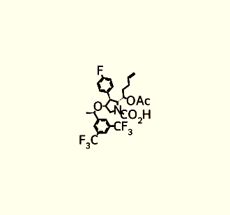 C=CCCC(OC(C)=O)[C@H]1[C@H](c2ccc(F)cc2)[C@@H](O[C@H](C)c2cc(C(F)(F)F)cc(C(F)(F)F)c2)CN1C(=O)O